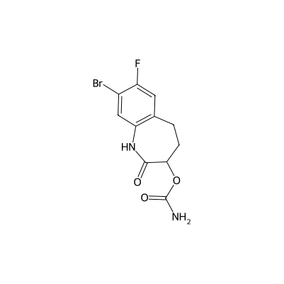 NC(=O)OC1CCc2cc(F)c(Br)cc2NC1=O